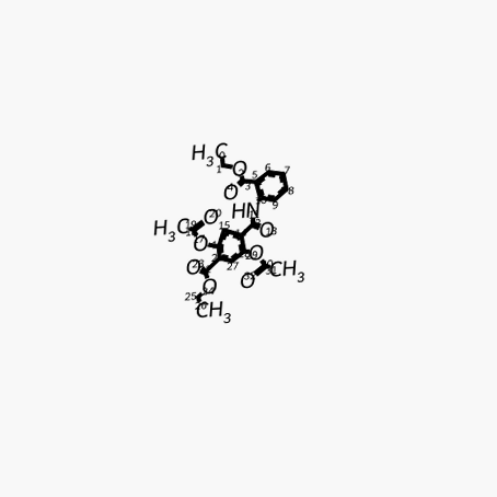 CCOC(=O)c1ccccc1NC(=O)c1cc(OC(C)=O)c(C(=O)OCC)cc1OC(C)=O